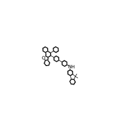 CC1(C)c2ccccc2-c2ccc(Nc3ccc(-c4ccc(-c5c(-c6ccccc6)c6ccccc6c6oc7ccccc7c56)cc4)cc3)cc21